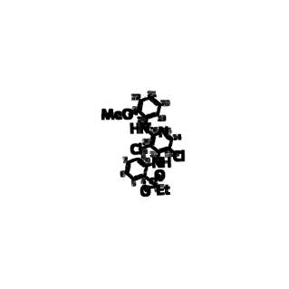 CCS(=O)(=O)c1ccccc1Nc1c(Cl)cnc(Nc2ccccc2OC)c1Cl